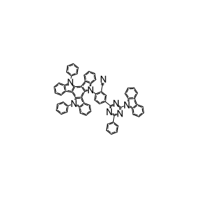 N#Cc1cc(-c2nc(-c3ccccc3)nc(-n3c4ccccc4c4ccccc43)n2)ccc1-n1c2ccccc2c2c3c(c4ccccc4n3-c3ccccc3)c3c(c4ccccc4n3-c3ccccc3)c21